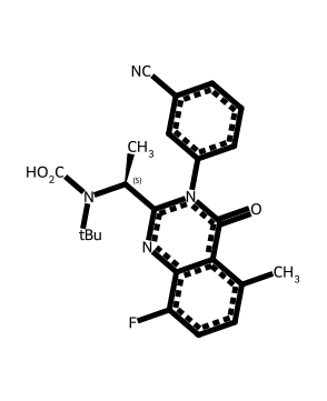 Cc1ccc(F)c2nc([C@H](C)N(C(=O)O)C(C)(C)C)n(-c3cccc(C#N)c3)c(=O)c12